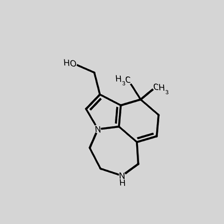 CC1(C)CC=C2CNCCn3cc(CO)c1c32